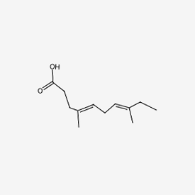 CC/C(C)=C/C/C=C(\C)CCC(=O)O